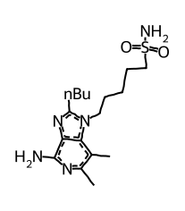 CCCCc1nc2c(N)nc(C)c(C)c2n1CCCCCS(N)(=O)=O